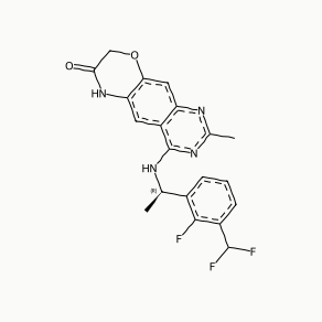 Cc1nc(N[C@H](C)c2cccc(C(F)F)c2F)c2cc3c(cc2n1)OCC(=O)N3